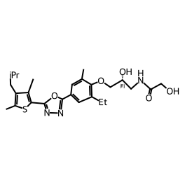 CCc1cc(-c2nnc(-c3sc(C)c(CC(C)C)c3C)o2)cc(C)c1OC[C@H](O)CNC(=O)CO